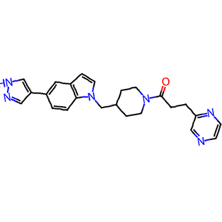 O=C(CCc1cnccn1)N1CCC(Cn2ccc3cc(-c4cn[nH]c4)ccc32)CC1